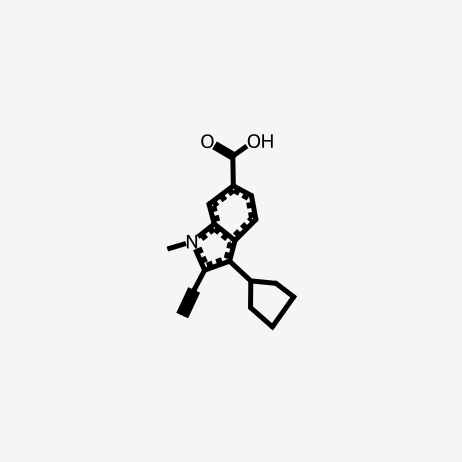 C#Cc1c(C2CCCC2)c2ccc(C(=O)O)cc2n1C